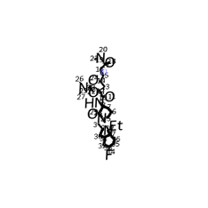 CCn1c(Cn2cccc(NC(=O)[C@H](CC/C=C/C(=O)N(C)C)OC(=O)N(C)C)c2=O)cc2cc(F)ccc21